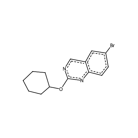 Brc1ccc2nc(OC3CCCCC3)ncc2c1